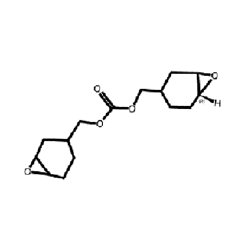 O=C(OCC1CCC2OC2C1)OCC1CC[C@H]2OC2C1